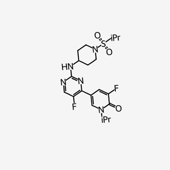 CC(C)n1cc(-c2nc(NC3CCN(S(=O)(=O)C(C)C)CC3)ncc2F)cc(F)c1=O